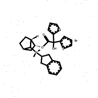 C[N+](C)(C1Cc2ccccc2C1)C1C2CC[C@@H]1[C@H](OC(=O)C(O)(c1cccs1)c1cccs1)C2.[Br-]